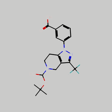 CC(C)(C)OC(O)N1CCc2c(c(C(F)(F)F)nn2-c2cccc(C(=O)O)c2)C1